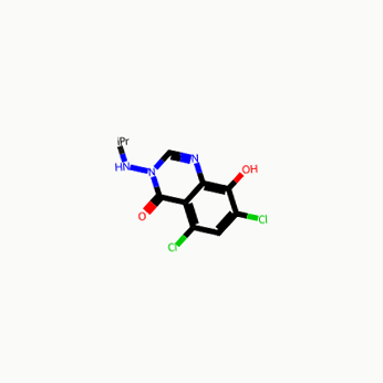 CC(C)Nn1cnc2c(O)c(Cl)cc(Cl)c2c1=O